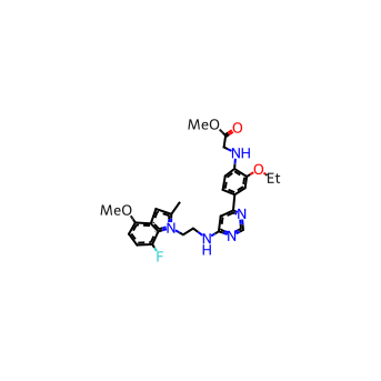 CCOc1cc(-c2cc(NCCn3c(C)cc4c(OC)ccc(F)c43)ncn2)ccc1NCC(=O)OC